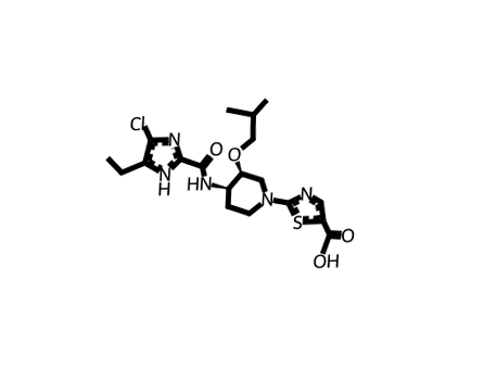 CCc1[nH]c(C(=O)N[C@@H]2CCN(c3ncc(C(=O)O)s3)C[C@@H]2OCC(C)C)nc1Cl